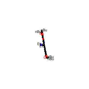 CCCCC(CCCC)CC(=O)OCCCCCCCCCCC(CCCCCCCCCCOC(=O)CC(CCCC)CCCC)CCN(CC)CC